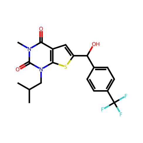 CC(C)Cn1c(=O)n(C)c(=O)c2cc(C(O)c3ccc(C(F)(F)F)cc3)sc21